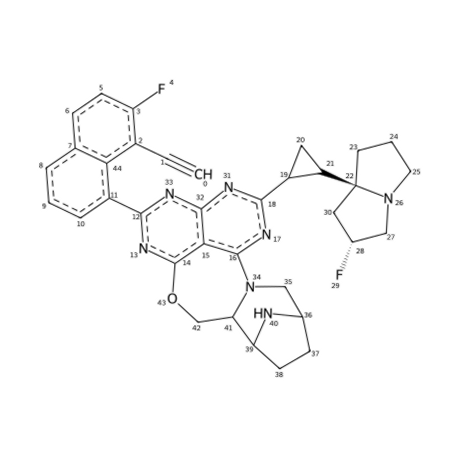 C#Cc1c(F)ccc2cccc(-c3nc4c5c(nc(C6CC6[C@@]67CCCN6C[C@H](F)C7)nc5n3)N3CC5CCC(N5)C3CO4)c12